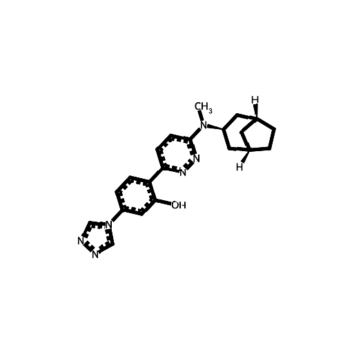 CN(c1ccc(-c2ccc(-n3cnnc3)cc2O)nn1)[C@H]1C[C@@H]2CC[C@@H](C2)C1